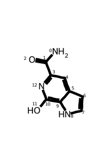 NC(=O)c1cc2cc[nH]c2c(O)n1